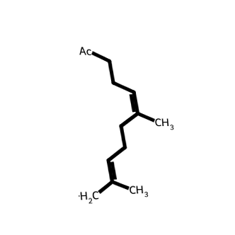 [CH2]C(C)=CCCC(C)=CCCC(C)=O